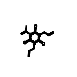 C=CCn1c(=O)n(CC=C)c(=O)n(C(=C)C)c1=O